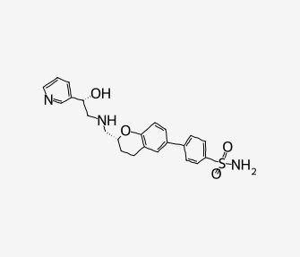 NS(=O)(=O)c1ccc(-c2ccc3c(c2)CC[C@H](CNC[C@@H](O)c2cccnc2)O3)cc1